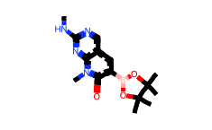 CNc1ncc2cc(B3OC(C)(C)C(C)(C)O3)c(=O)n(C)c2n1